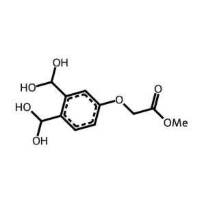 COC(=O)COc1ccc(C(O)O)c(C(O)O)c1